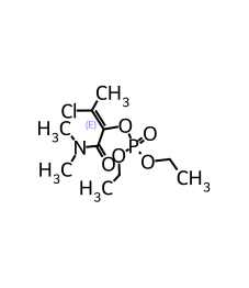 CCOP(=O)(OCC)O/C(C(=O)N(C)C)=C(\C)Cl